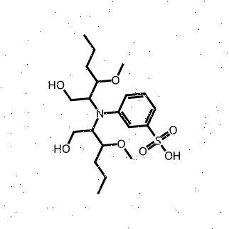 CCCC(OC)C(CO)N(c1cccc(S(=O)(=O)O)c1)C(CO)C(CCC)OC